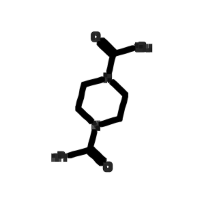 CCCC(=O)N1CCN(C(=O)C(C)(C)C)CC1